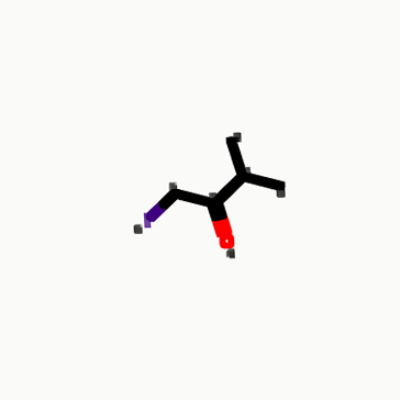 CC(C)C(=O)CI